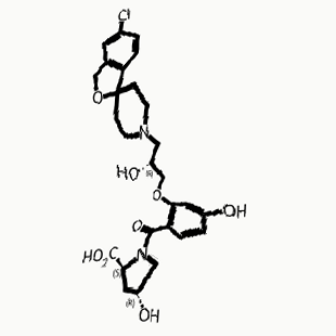 O=C(O)[C@@H]1C[C@@H](O)CN1C(=O)c1ccc(O)cc1OC[C@H](O)CN1CCC2(CC1)OCc1cc(Cl)ccc12